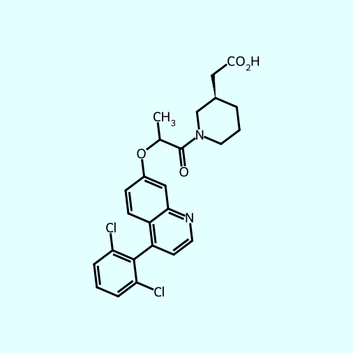 CC(Oc1ccc2c(-c3c(Cl)cccc3Cl)ccnc2c1)C(=O)N1CCC[C@H](CC(=O)O)C1